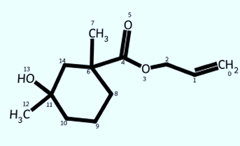 C=CCOC(=O)C1(C)CCCC(C)(O)C1